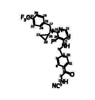 N#CNCC(=O)c1ccc(CNc2ncnc(N(Cc3ccc(C(F)(F)F)cc3)C3CC3)c2F)cc1